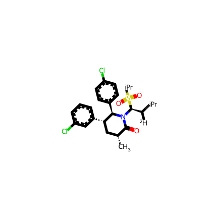 [2H]C(C(C)C)[C@@H](N1C(=O)[C@H](C)C[C@H](c2cccc(Cl)c2)[C@H]1c1ccc(Cl)cc1)S(=O)(=O)C(C)C